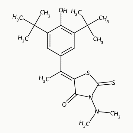 CC(=C1SC(=S)N(N(C)C)C1=O)c1cc(C(C)(C)C)c(O)c(C(C)(C)C)c1